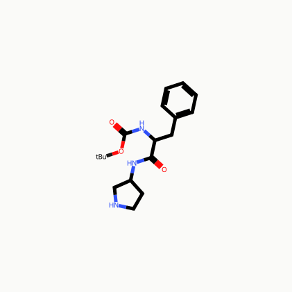 CC(C)(C)OC(=O)NC(Cc1ccccc1)C(=O)NC1CCNC1